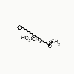 C=COC(=O)CCCCCCCCCCCCCCCCCCC1CCCCC1.CC(=O)O